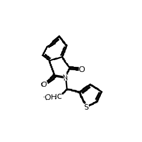 O=[C]C(c1cccs1)N1C(=O)c2ccccc2C1=O